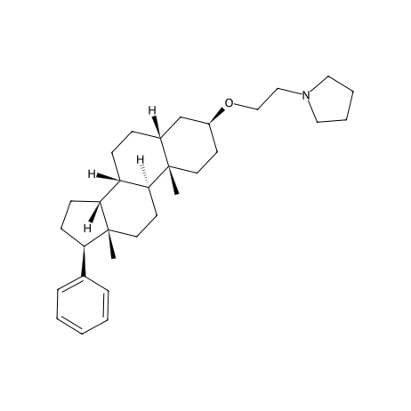 C[C@]12CC[C@H](OCCN3CCCC3)C[C@H]1CC[C@H]1[C@H]3CC[C@H](c4ccccc4)[C@@]3(C)CC[C@@H]12